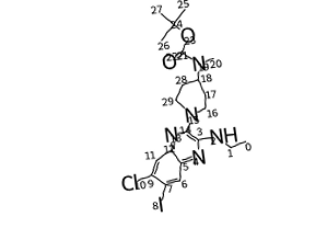 CCNc1nc2cc(I)c(Cl)cc2nc1N1CCC(N(C)C(=O)OC(C)(C)C)CC1